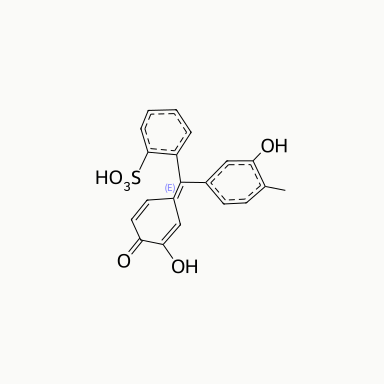 Cc1ccc(/C(=C2/C=CC(=O)C(O)=C2)c2ccccc2S(=O)(=O)O)cc1O